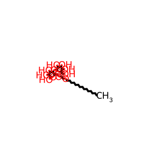 CCCCCCCCCCCCCCCCOCCOCC1OC(O)C(O)C(O)C1OC1OC(CO)C(O)C(O)C1O